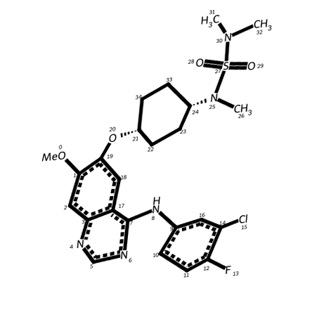 COc1cc2ncnc(Nc3ccc(F)c(Cl)c3)c2cc1O[C@H]1CC[C@@H](N(C)S(=O)(=O)N(C)C)CC1